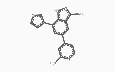 Nc1cc(-c2cc(-c3ccoc3)c3[nH]nc(N)c3c2)ccn1